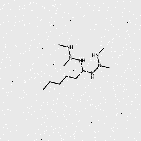 [CH2]CCCC[C](NN(C)NC)NN(C)NC